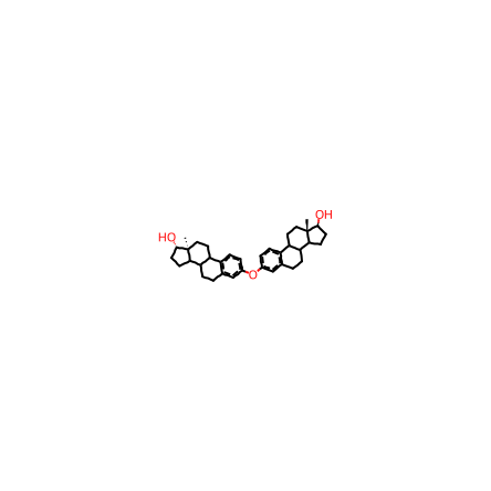 C[C@]12CCC3c4ccc(Oc5ccc6c(c5)CCC5C6CC[C@@]6(C)C5CC[C@@H]6O)cc4CCC3C1CC[C@@H]2O